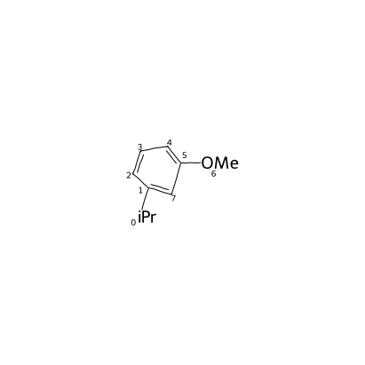 [CH2]C(C)c1cccc(OC)c1